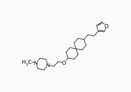 CN1CCN(CCOC2CCC3(CCC(CCc4ccoc4)CC3)CC2)CC1